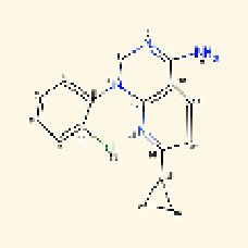 NC1=NCN(c2ccccc2Cl)c2nc(C3CC3)ccc21